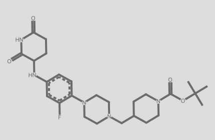 CC(C)(C)OC(=O)N1CCC(CN2CCN(c3ccc(NC4CCC(=O)NC4=O)cc3F)CC2)CC1